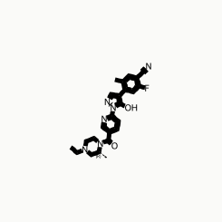 CCN1CCN(C(=O)c2ccc(-n3ncc(-c4cc(F)c(C#N)cc4C)c3O)nc2)[C@H](C)C1